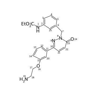 CCOC(=O)Nc1cccc(Cn2nc(-c3cccc(OCCN)c3)ccc2=O)c1